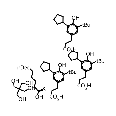 CC(C)(C)c1cc(CCC(=O)O)cc(C2CCCC2)c1O.CC(C)(C)c1cc(CCC(=O)O)cc(C2CCCC2)c1O.CC(C)(C)c1cc(CCC(=O)O)cc(C2CCCC2)c1O.CCCCCCCCCCCCCCC(O)=S.OCC(CO)(CO)CO